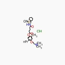 CCCc1cc(OC(=O)CCCC(=O)NCC2(SN=O)CCCCC2)c(C)cc1OCCN(C)C.Cl